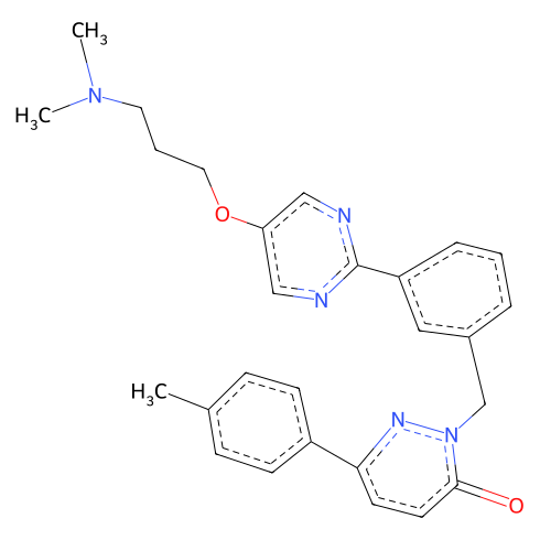 Cc1ccc(-c2ccc(=O)n(Cc3cccc(-c4ncc(OCCCN(C)C)cn4)c3)n2)cc1